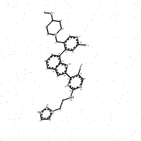 COC1CCN(Cc2cnc(F)cc2-c2cccc3cc(-c4nc(NCCn5ccnn5)ncc4F)sc23)CC1